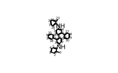 Cc1ccccc1Nc1ccc(-c2ccc(Nc3ccccc3C)cc2-c2ccccc2)c(-c2ccccc2)c1